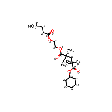 CCC(C)(CC(C)(C)C(=O)OCCOC(=O)CCC(=O)O)C(=O)OC1CCCCC1